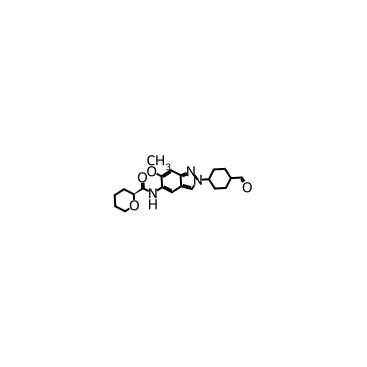 COc1cc2nn(C3CCC(C=O)CC3)cc2cc1NC(=O)[C@@H]1CCCCO1